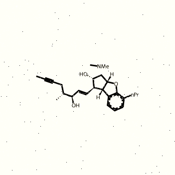 CC#CC[C@@H](C)[C@H](O)C=C[C@@H]1[C@H]2c3cccc(CCC)c3O[C@H]2C[C@H]1O.CNC